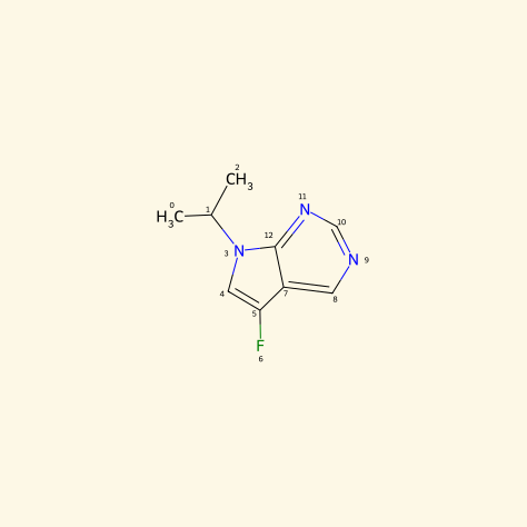 CC(C)n1cc(F)c2cncnc21